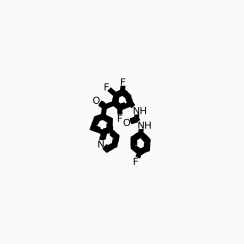 O=C(Nc1ccc(F)cc1)Nc1cc(F)c(F)c(C(=O)c2ccc3ncccc3c2)c1F